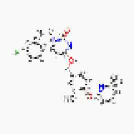 N#Cc1cc(COc2cc3n(c(=O)n2)CCc2cc(F)ccc2-3)ccc1Oc1cccc(C(F)(F)F)n1